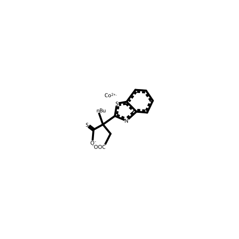 CCCCC(CC(=O)[O-])(C([O-])=S)c1nc2ccccc2s1.[Co+2]